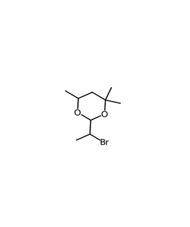 CC1CC(C)(C)OC(C(C)Br)O1